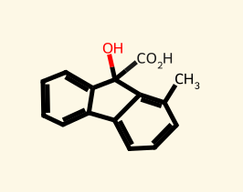 Cc1cccc2c1C(O)(C(=O)O)c1ccccc1-2